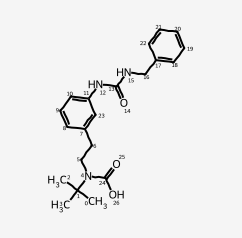 CC(C)(C)N(CCc1cccc(NC(=O)NCc2ccccc2)c1)C(=O)O